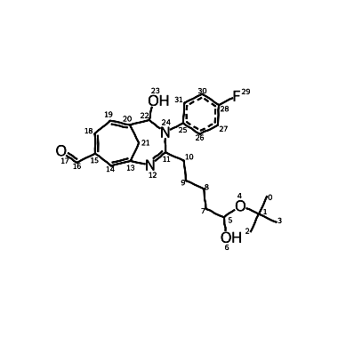 CC(C)(C)OC(O)CCCCC1=NC2=CC(C=O)=CC=C(C2)C(O)N1c1ccc(F)cc1